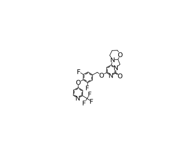 O=c1nc(OCc2cc(F)c(Oc3ccnc(C(F)(F)F)c3)c(F)c2)cc2n1CC1OCCCN21